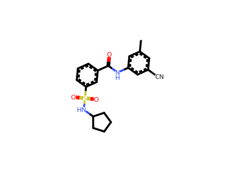 Cc1cc(C#N)cc(NC(=O)c2cccc(S(=O)(=O)NC3CCCC3)c2)c1